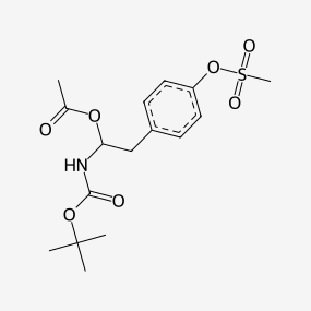 CC(=O)OC(Cc1ccc(OS(C)(=O)=O)cc1)NC(=O)OC(C)(C)C